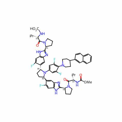 COC(=O)N[C@H](C(=O)N1CCC[C@H]1c1nc2cc([C@H]3CC[C@H](c4cc5nc([C@@H]6CCCN6C(=O)[C@@H](NC(=O)O)C(C)C)[nH]c5cc4F)N3c3cc(F)c(N4CCC(c5ccc6ccccc6c5)CC4)c(F)c3)c(F)cc2[nH]1)C(C)C